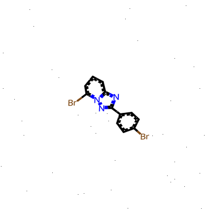 Brc1ccc(-c2nc3cccc(Br)n3n2)cc1